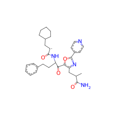 CC(Cc1nc(-c2ccncc2)oc1C(=O)C(CCc1ccccc1)NC(=O)[CH]CC1CCCCC1)C(N)=O